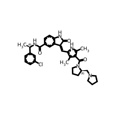 Cc1[nH]c(C=C2C(=O)Nc3ccc(C(=O)N[C@H](C)c4cccc(Cl)c4)cc32)c(C)c1C(=O)N1CCC[C@@H]1CN1CCCC1